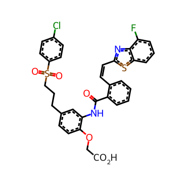 O=C(O)COc1ccc(CCCS(=O)(=O)c2ccc(Cl)cc2)cc1NC(=O)c1ccccc1C=Cc1nc2c(F)cccc2s1